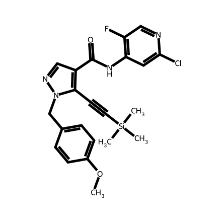 COc1ccc(Cn2ncc(C(=O)Nc3cc(Cl)ncc3F)c2C#C[Si](C)(C)C)cc1